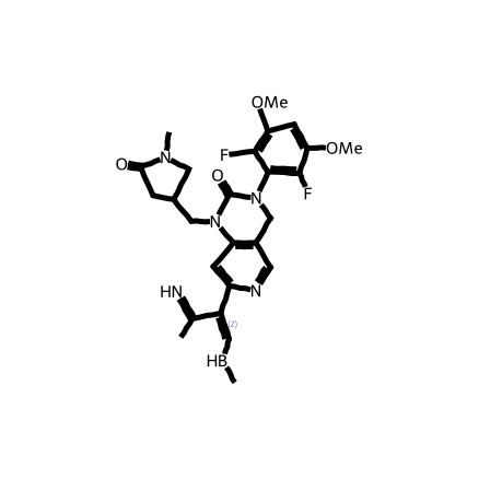 CB/C=C(\C(C)=N)c1cc2c(cn1)CN(c1c(F)c(OC)cc(OC)c1F)C(=O)N2CC1CC(=O)N(C)C1